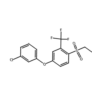 CCS(=O)(=O)c1ccc(Oc2c[c]cc(Cl)c2)cc1C(F)(F)F